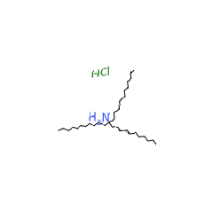 CCCCCCCCCCCC(N)(CCCCCCCCCCC)CCCCCCCCCCC.Cl